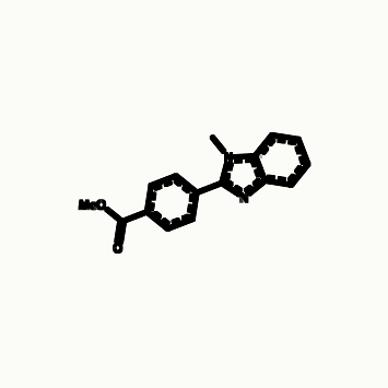 COC(=O)c1ccc(-c2nc3ccccc3n2C)cc1